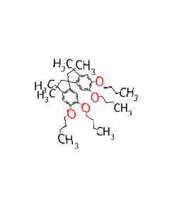 CCCCOc1cc2c(cc1OCCCC)C1(CC2(C)C)CC(C)(C)c2cc(OCCCC)c(OCCCC)cc21